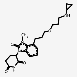 Cn1c(=O)n(C2CCC(=O)NC2=O)c2cccc(CCCOCCCNC3CC3)c21